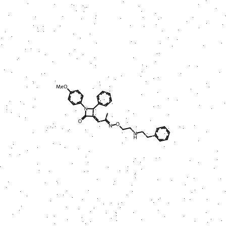 COc1ccc(N2C(=O)/C(=C/C(C)=N/OCCNCCc3ccccc3)C2c2ccccc2)cc1